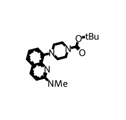 CNc1ccc2cccc(N3CCN(C(=O)OC(C)(C)C)CC3)c2n1